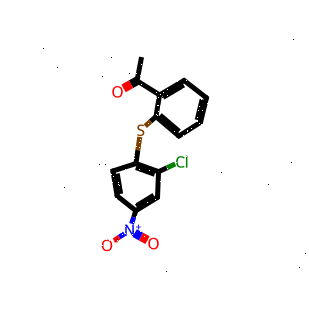 CC(=O)c1ccccc1Sc1ccc([N+](=O)[O-])cc1Cl